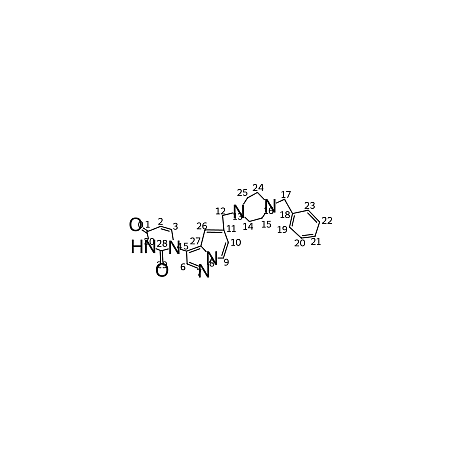 O=c1ccn(-c2cnn3ccc(CN4CCN(Cc5ccccc5)CC4)cc23)c(=O)[nH]1